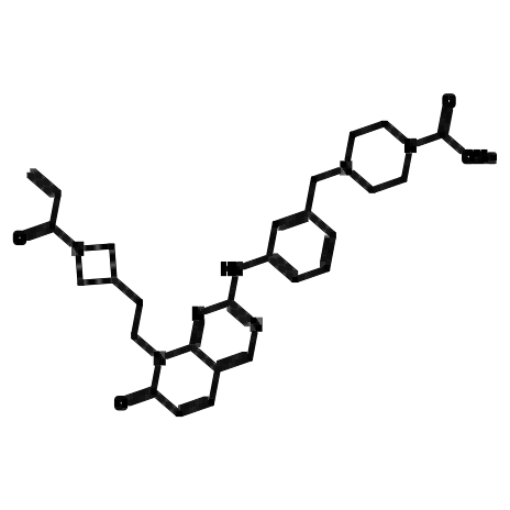 C=CC(=O)N1CC(CCn2c(=O)ccc3cnc(Nc4cccc(CN5CCN(C(=O)OC)CC5)c4)nc32)C1